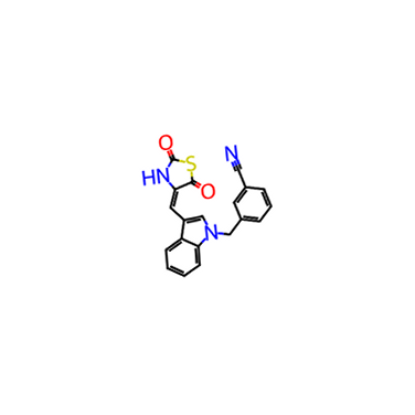 N#Cc1cccc(Cn2cc(C=C3NC(=O)SC3=O)c3ccccc32)c1